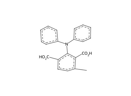 Cc1ccc(C(=O)O)c(N(c2ccccc2)c2ccccc2)c1C(=O)O